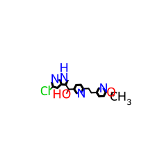 COc1ccc(CCc2ccc(C(O)c3c[nH]c4ncc(Cl)cc34)cn2)cn1